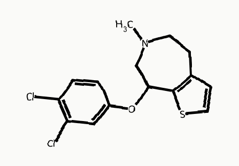 CN1CCc2ccsc2C(Oc2ccc(Cl)c(Cl)c2)C1